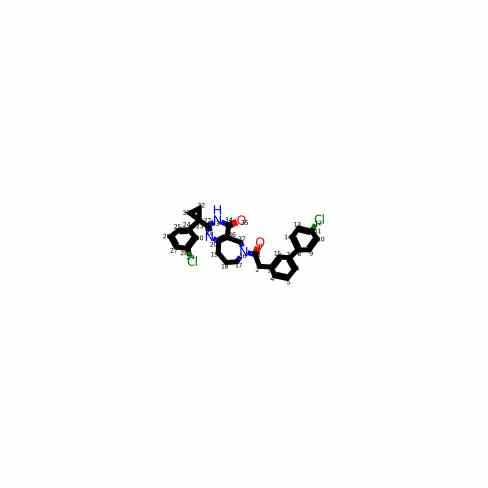 O=C(Cc1cccc(-c2ccc(Cl)cc2)c1)N1CCCc2nc(C3(c4cccc(Cl)c4)CC3)[nH]c(=O)c2C1